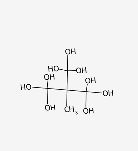 CC(C(O)(O)O)(C(O)(O)O)C(O)(O)O